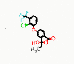 CCC1(O)OC(=O)c2ccc(Oc3cccc(C(F)(F)F)c3Cl)cc21